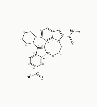 CNC(=O)c1cc2cccc3c2n1CCCn1c-3c(C2CCCCC2)c2ccc(C(=O)O)cc21